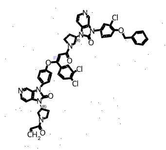 C=CC(=O)N1CC[C@@H](n2c(=O)n(-c3ccc(O/C(=C/C(=O)N4CC[C@@H](n5c(=O)n(-c6ccc(OCc7ccccc7)c(Cl)c6)c6cnccc65)C4)c4ccc(Cl)c(Cl)c4)cc3)c3cnccc32)C1